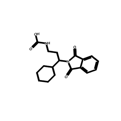 O=C(O)NCCC(C1CCCCC1)N1C(=O)c2ccccc2C1=O